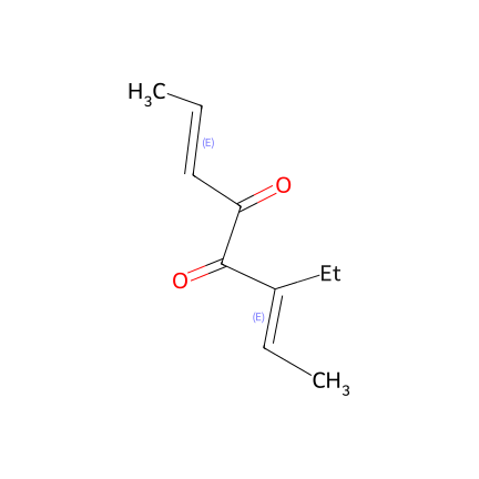 C/C=C/C(=O)C(=O)/C(=C/C)CC